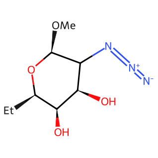 CC[C@H]1O[C@@H](OC)C(N=[N+]=[N-])[C@@H](O)[C@H]1O